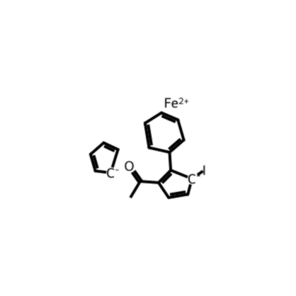 CC(=O)c1cc[c-](I)c1-c1ccccc1.[Fe+2].c1cc[cH-]c1